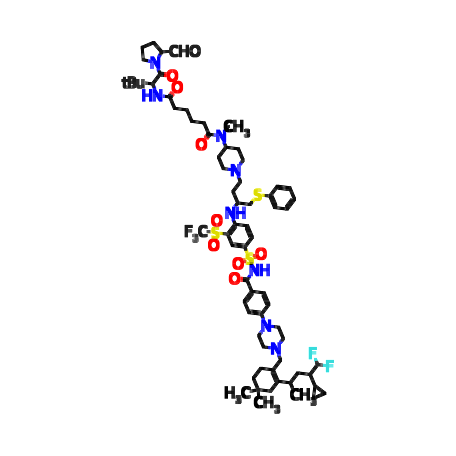 CC(CC(C(F)F)C1CC1)C1=C(CN2CCN(c3ccc(C(=O)NS(=O)(=O)c4ccc(NC(CCN5CCC(N(C)C(=O)CCCCC(=O)NC(C(=O)N6CCCC6C=O)C(C)(C)C)CC5)CSc5ccccc5)c(S(=O)(=O)C(F)(F)F)c4)cc3)CC2)CCC(C)(C)C1